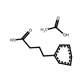 CC(=O)O.O=C(O)CCCc1ccccc1